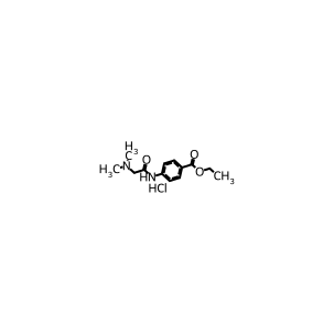 CCOC(=O)c1ccc(NC(=O)CN(C)C)cc1.Cl